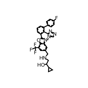 Cn1cnnc1-c1c(-c2ccc(F)cc2)cccc1-c1nc2cc(CNCC(O)C3CC3)cc(C(F)(F)F)c2o1